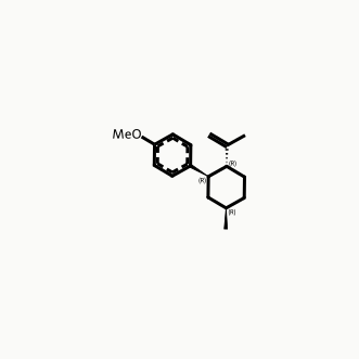 C=C(C)[C@@H]1CC[C@@H](C)C[C@H]1c1ccc(OC)cc1